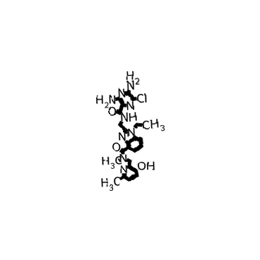 CCn1c(CNC(=O)c2nc(Cl)c(N)nc2N)nc2c(C(=O)N(C)Cc3nc(C)ccc3O)cccc21